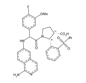 COc1cc(C(Nc2ccc3c(N)nccc3c2)C(=O)N2CC[C@H](C(=O)O)[C@@H]2c2ccccc2S(=O)(=O)C(C)C)ccc1F